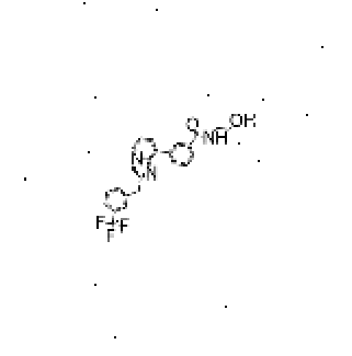 O=C(NCCO)c1cccc(-c2cccn3cc(Cc4cccc(C(F)(F)F)c4)nc23)c1